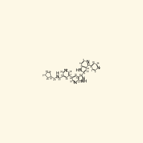 c1cc(-c2nccc3[nH]c(-c4n[nH]c5ncc(-c6cncc(CNCC7CCCC7)c6)cc45)cc23)ccn1